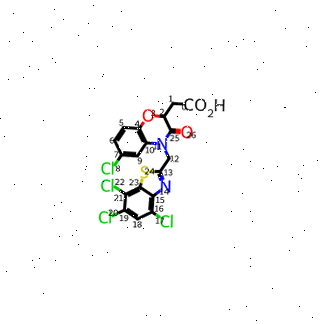 O=C(O)CC1Oc2ccc(Cl)cc2N(Cc2nc3c(Cl)cc(Cl)c(Cl)c3s2)C1=O